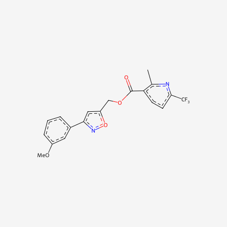 COc1cccc(-c2cc(COC(=O)c3ccc(C(F)(F)F)nc3C)on2)c1